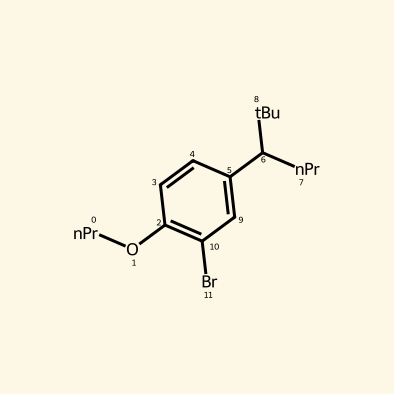 CCCOc1ccc(C(CCC)C(C)(C)C)cc1Br